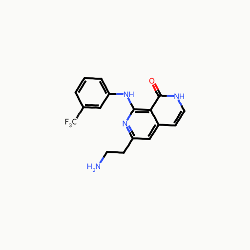 NCCc1cc2cc[nH]c(=O)c2c(Nc2cccc(C(F)(F)F)c2)n1